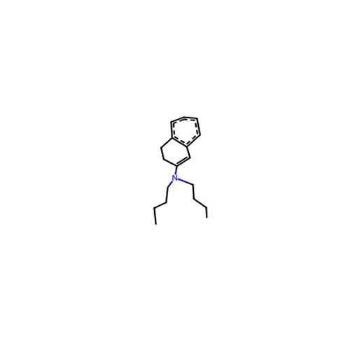 CCCCN(CCCC)C1=Cc2ccccc2CC1